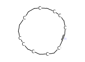 [CH]1/C=C/CCCCCCCCCCCCCCCCCC1